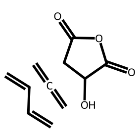 C=C=C.C=CC=C.O=C1CC(O)C(=O)O1